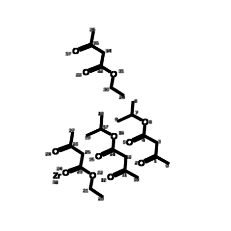 CC(=O)CC(=O)OC(C)C.CC(=O)CC(=O)OC(C)C.CCOC(=O)CC(C)=O.CCOC(=O)CC(C)=O.[Zr]